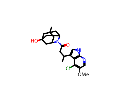 COc1cnc2[nH]cc(C(C)CC(=O)N3C4CC5(C)CC3CC(O)(C4)C5)c2c1Cl